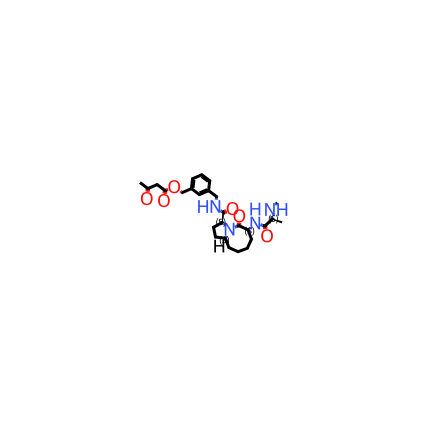 CN[C@@H](C)C(=O)N[C@H]1CCCC[C@H]2CC[C@@H](C(=O)NCc3cccc(COC(=O)CC(C)=O)c3)N2C1=O